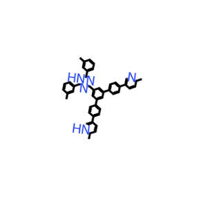 Cc1cccc(C2=NC(c3cc(-c4ccc(C5=CNC(C)C=C5)cc4)cc(-c4ccc(-c5ccc(C)nc5)cc4)c3)=NC(c3cccc(C)c3)N2)c1